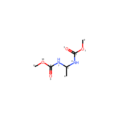 COC(=O)NC(C)NC(=O)OC